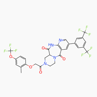 Cc1cc(OC(F)(F)F)ccc1OCC(=O)N1CCN2C(=O)c3cc(-c4cc(C(F)(F)F)cc(C(F)(F)F)c4)cnc3NC(=O)C2C1